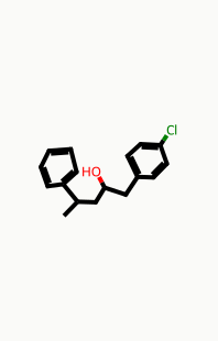 CC(CC(O)Cc1ccc(Cl)cc1)c1ccccc1